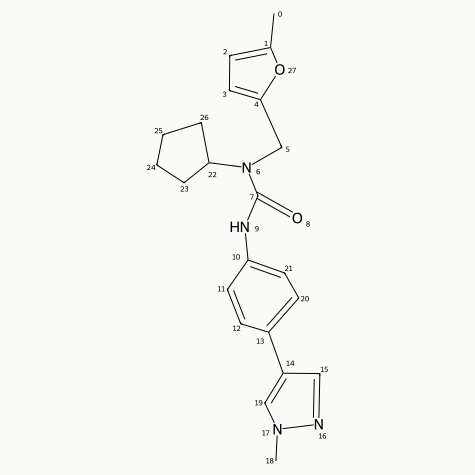 Cc1ccc(CN(C(=O)Nc2ccc(-c3cnn(C)c3)cc2)C2CCCC2)o1